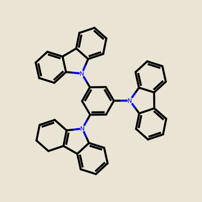 C1=Cc2c(c3ccccc3n2-c2cc(-n3c4ccccc4c4ccccc43)cc(-n3c4ccccc4c4ccccc43)c2)CC1